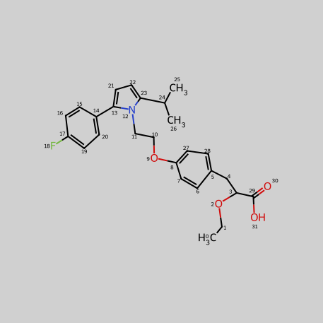 CCOC(Cc1ccc(OCCn2c(-c3ccc(F)cc3)ccc2C(C)C)cc1)C(=O)O